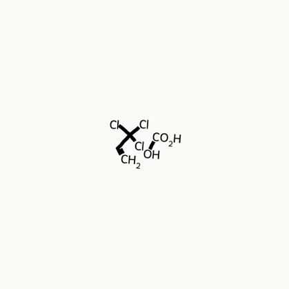 C=CC(Cl)(Cl)Cl.O=C(O)O